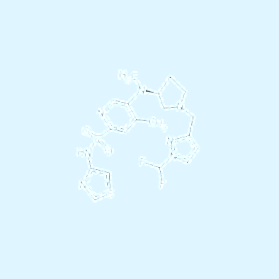 Cc1cc(S(=O)(=O)Nc2cscn2)ncc1N(C)[C@H]1CCN(Cc2ccn(C(F)F)n2)C1